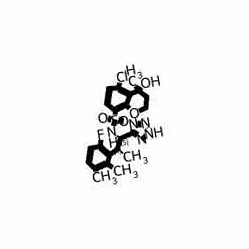 Cc1ccc(F)c([C@@H](C)[C@H](NS(=O)(=O)c2ccc(Cl)c3c2OCCC3(C)O)c2nn[nH]n2)c1C